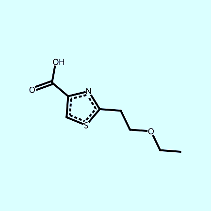 CCOCCc1nc(C(=O)O)cs1